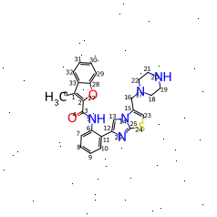 Cc1c(C(=O)Nc2ccccc2-c2cn3c(CN4CCNCC4)csc3n2)oc2ccccc12